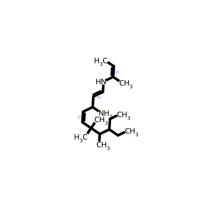 C/C=C(/C)N/C=C/C(N)/C=C\C(C)(C)C(C)C(CC)CC